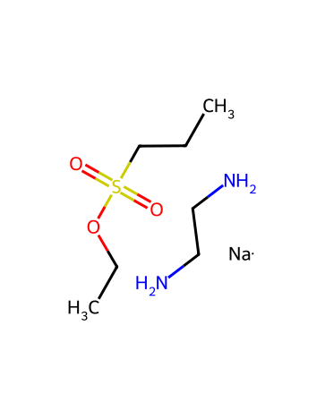 CCCS(=O)(=O)OCC.NCCN.[Na]